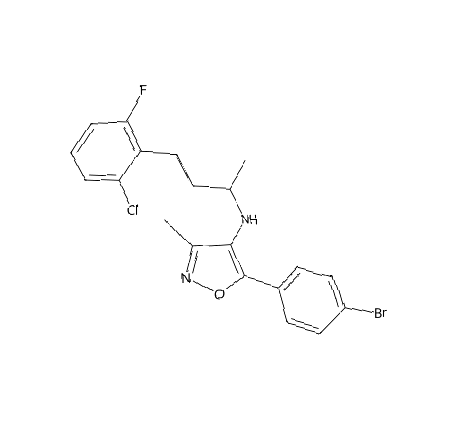 Cc1noc(-c2ccc(Br)cc2)c1NC(C)CCc1c(F)cccc1Cl